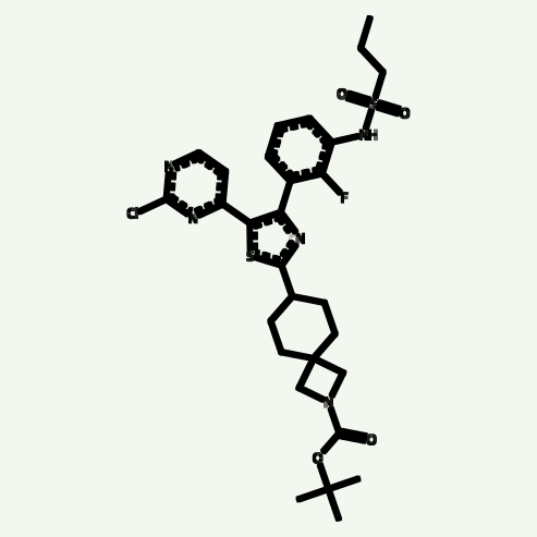 CCCS(=O)(=O)Nc1cccc(-c2nc(C3CCC4(CC3)CN(C(=O)OC(C)(C)C)C4)sc2-c2ccnc(Cl)n2)c1F